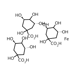 O=C(O)C1(O)C[C@@H](O)C(O)[C@H](O)C1.O=C(O)C1(O)C[C@@H](O)C(O)[C@H](O)C1.O=C(O)C1(O)C[C@@H](O)C(O)[C@H](O)C1.[Fe]